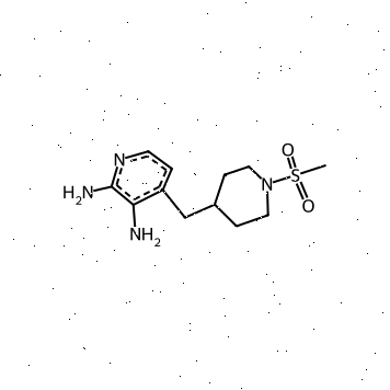 CS(=O)(=O)N1CCC(Cc2ccnc(N)c2N)CC1